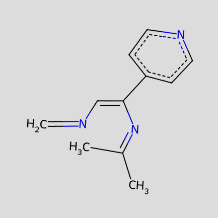 C=N/C=C(\N=C(C)C)c1ccncc1